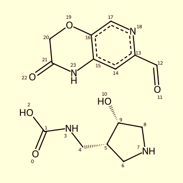 O=C(O)NC[C@H]1CNC[C@H]1O.O=Cc1cc2c(cn1)OCC(=O)N2